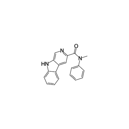 CN(C(=O)c1cc2c(cn1)[nH]c1ccccc12)c1ccccc1